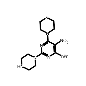 CCCc1nc(N2CCNCC2)nc(N2CCSCC2)c1[N+](=O)[O-]